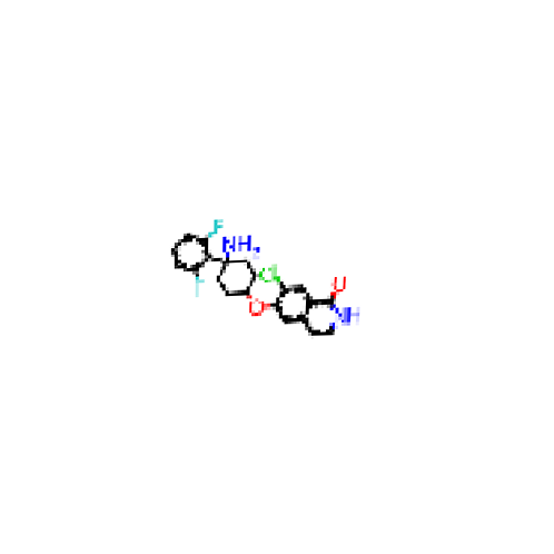 NC1(c2c(F)cccc2F)CCC(Oc2cc3cc[nH]c(=O)c3cc2Cl)CC1